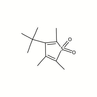 CC1=C(C)S(=O)(=O)C(C)=C1C(C)(C)C